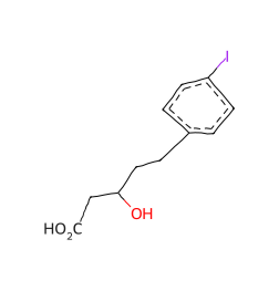 O=C(O)CC(O)CCc1ccc(I)cc1